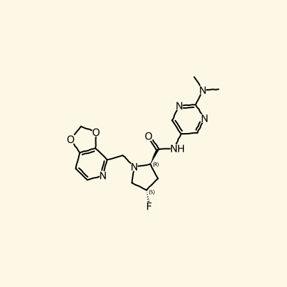 CN(C)c1ncc(NC(=O)[C@H]2C[C@H](F)CN2Cc2nccc3c2OCO3)cn1